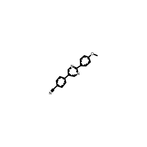 COc1ccc(-c2ncc(-c3ccc(C#N)cc3)cn2)cc1